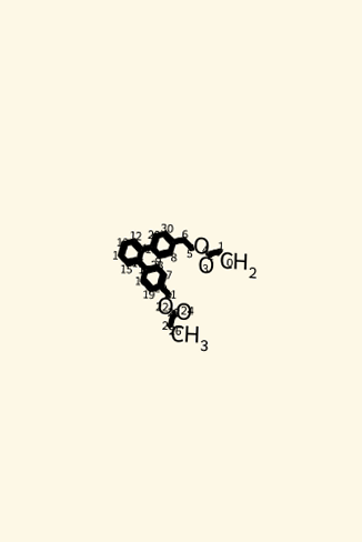 C=CC(=O)OCCc1ccc(-c2ccccc2-c2ccc(COC(=O)CC)cc2)cc1